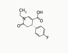 CCN1C=C(C(=O)O)[C@H](c2ccc(F)cc2)CC1=O